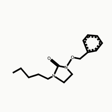 CCCCCN1CCN(OCc2ccccc2)C1=O